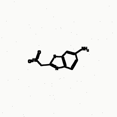 Nc1ccc2nc(C[SH](=O)=O)sc2c1